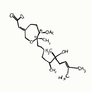 CC(=O)O[C@@H]1CCC(=CC(=O)Cl)CO[C@@]1(C)CCCC(C)C(C)(O)CC=C(C)C